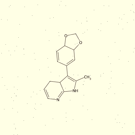 CC1=C(C2=CC3OCOC3C=C2)C2CC=CN=C2N1